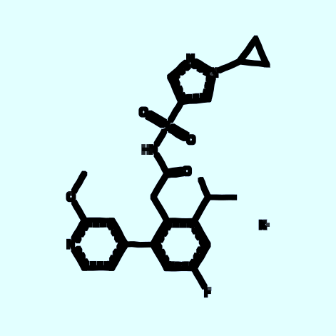 COc1cc(-c2cc(F)cc(C(C)C)c2CC(=O)NS(=O)(=O)c2cnn(C3CC3)c2)ccn1.[K]